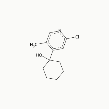 Cc1cnc(Cl)cc1C1(O)CCCCC1